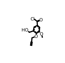 C#CCOc1c(CO)cc(C(=O)Cl)cc1OC